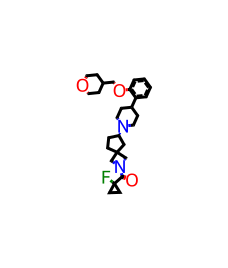 O=C(N1CC2(CC[C@@H](N3CCC(c4ccccc4OCC4CCOCC4)CC3)C2)C1)C1(F)CC1